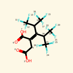 O=C(O)CC(C(=O)O)=C(C(C(F)(F)F)C(F)(F)F)C(C(F)(F)F)C(F)(F)F